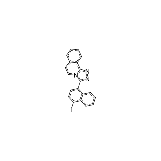 Ic1ccc(-c2nnc3c4ccccc4ccn23)c2ccccc12